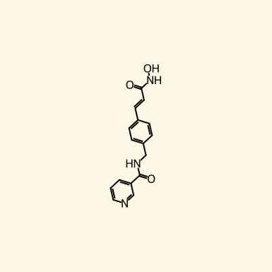 O=C(C=Cc1ccc(CNC(=O)c2cccnc2)cc1)NO